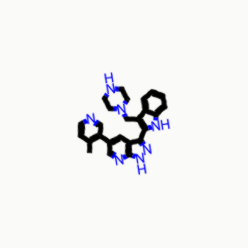 Cc1ccncc1-c1cnc2[nH]nc(-c3[nH]c4ccccc4c3CN3CCNCC3)c2c1